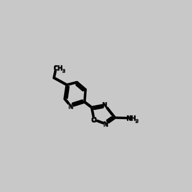 CCc1ccc(-c2nc(N)no2)nc1